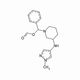 Cn1cc(NC2CCCN(C(OC=O)c3ccccc3)C2)cn1